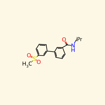 CC(C)NC(=O)c1cccc(-c2cccc(S(C)(=O)=O)c2)c1